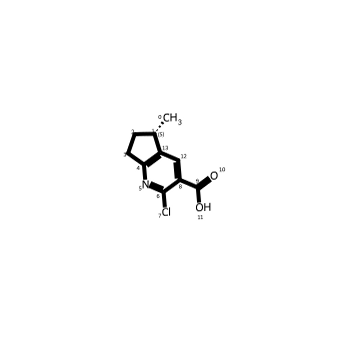 C[C@H]1CCc2nc(Cl)c(C(=O)O)cc21